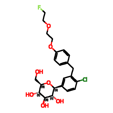 OC[C@H]1O[C@@H](c2ccc(Cl)c(Cc3ccc(OCCOCCF)cc3)c2)[C@H](O)[C@@H](O)[C@@H]1O